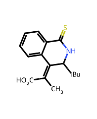 CCC(C)C1NC(=S)c2ccccc2C1=C(C)C(=O)O